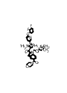 CS(C)(C)CCOCn1c(C(=O)c2cnn(-c3ccc(Oc4cccc(F)c4F)nc3)c2N)cc2cc(C(=O)N3CCOCC3)ccc21